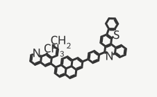 C=C/C=C\c1c(C2=CC=C3C=CC4=CC(c5ccc(-c6nc7ccccc7c7c6ccc6c8c(sc67)C=CCC8)cc5)=CC5=CC=C2C3C54)cc2cccnc2c1C